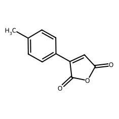 Cc1ccc(C2=CC(=O)OC2=O)cc1